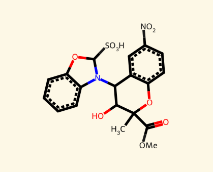 COC(=O)C1(C)Oc2ccc([N+](=O)[O-])cc2C(N2c3ccccc3OC2S(=O)(=O)O)C1O